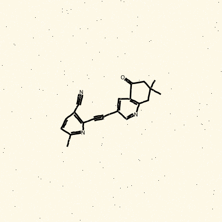 Cc1ccc(C#N)c(C#Cc2cnc3c(c2)C(=O)CC(C)(C)C3)n1